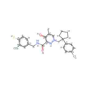 Cc1cn(CC2(c3ccc(Cl)cc3)CCCC2)nc(C(=O)NCc2ccc(F)c(Cl)c2)c1=O